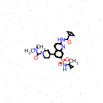 CN(C)C(=O)N1CC=C(c2cc(S(=O)(=O)NC3(C)CC3)cc3nc(NC(=O)C45CC4C5)ccc23)CC1